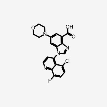 O=C(O)c1cc(N2CCOCC2)cc2c1ncn2-c1ccnc2c(F)ccc(Cl)c12